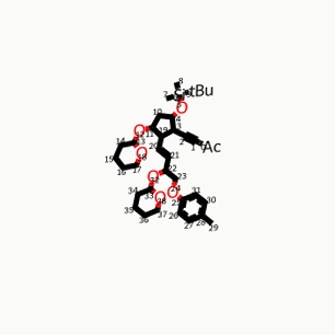 CC(=O)C#CC1C(O[Si](C)(C)C(C)(C)C)CC(OC2CCCCO2)C1C=CC(COc1ccc(C)cc1)OC1CCCCO1